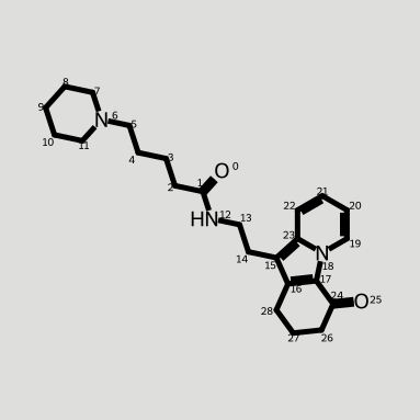 O=C(CCCCN1CCCCC1)NCCc1c2c(n3ccccc13)C(=O)CCC2